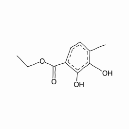 CCOC(=O)c1ccc(C)c(O)c1O